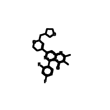 Cc1nc2cc(C3=CC(CC4CCOC4)OCC3)nc(-c3ccc(F)cc3F)n2c(=O)c1C